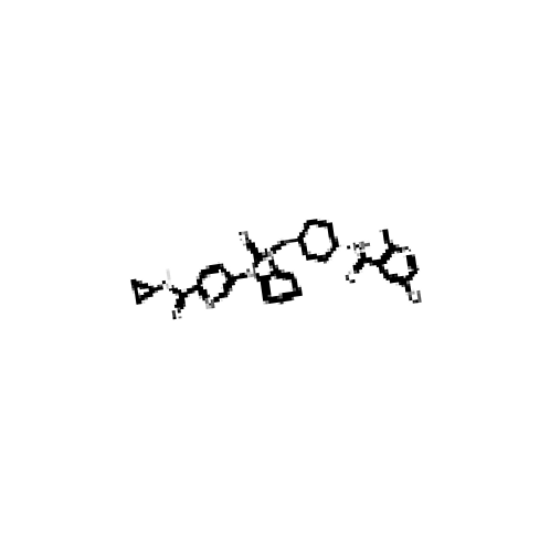 Cc1ncc(Cl)cc1C(=O)N[C@H]1CC[C@H](Cn2c(=O)n(-c3ccc(C(=O)NC4CC4)nc3)c3ccccc32)CC1